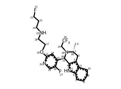 C[C@@H]1Cc2c([nH]c3ccccc23)[C@@H](c2cc(OCCNCCCF)ncc2F)N1CC(F)(F)F